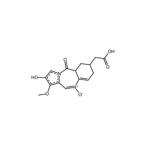 COc1c(O)cn2c1C=[N+]([O-])C1=CCC(CC(=O)O)CC1C2=O